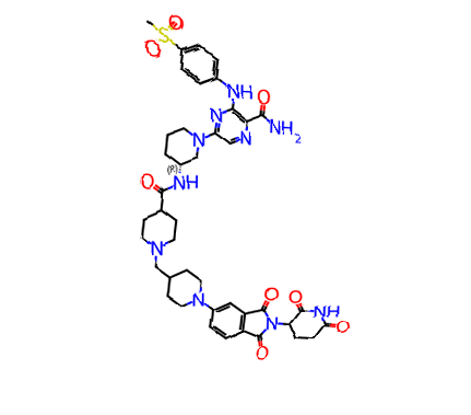 CS(=O)(=O)c1ccc(Nc2nc(N3CCC[C@@H](NC(=O)C4CCN(CC5CCN(c6ccc7c(c6)C(=O)N(C6CCC(=O)NC6=O)C7=O)CC5)CC4)C3)cnc2C(N)=O)cc1